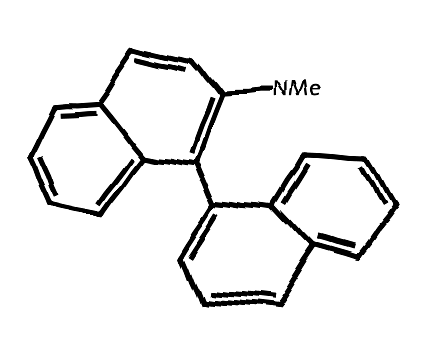 CNc1ccc2ccccc2c1-c1cccc2ccccc12